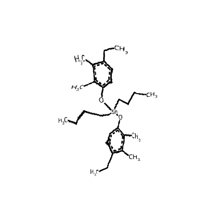 CCC[CH2][Sn]([CH2]CCC)([O]c1ccc(CC)c(C)c1C)[O]c1ccc(CC)c(C)c1C